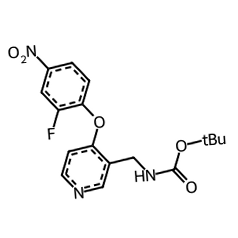 CC(C)(C)OC(=O)NCc1cnccc1Oc1ccc([N+](=O)[O-])cc1F